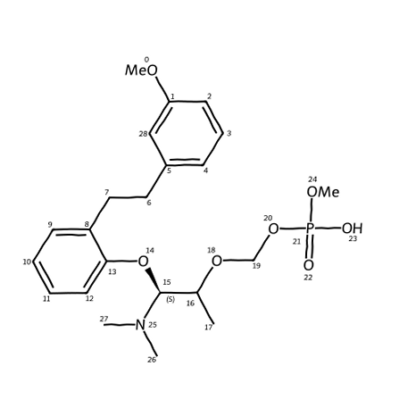 COc1cccc(CCc2ccccc2O[C@@H](C(C)OCOP(=O)(O)OC)N(C)C)c1